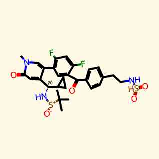 Cn1cc(-c2cc(C(=O)c3ccc(CCN[SH](=O)=O)cc3)c(F)cc2F)c([C@@H](N[S+]([O-])C(C)(C)C)C2CC2)cc1=O